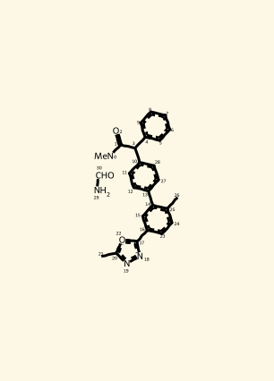 CNC(=O)C(c1ccccc1)c1ccc(-c2cc(-c3nnc(C)o3)ccc2C)cc1.NC=O